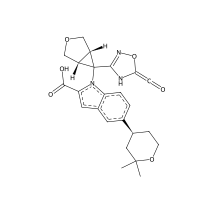 CC1(C)C[C@@H](c2ccc3c(c2)cc(C(=O)O)n3C2(C3=NOC(=C=O)N3)[C@@H]3COC[C@@H]32)CCO1